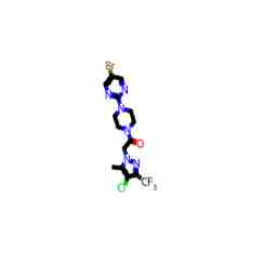 Cc1c(Cl)c(C(F)(F)F)nn1CC(=O)N1CCN(c2ncc(Br)cn2)CC1